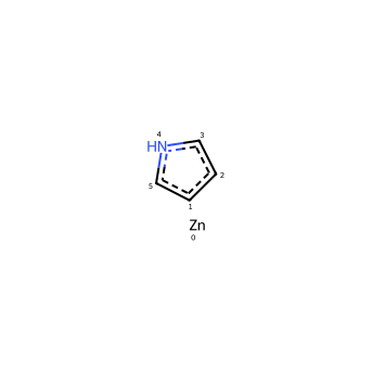 [Zn].c1cc[nH]c1